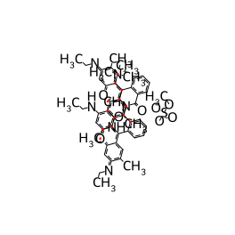 CCN=c1cc2oc3cc(NCC)c(C)cc3c(-c3ccccc3C(=O)N(CCC[N+](C)(C)C)C(=O)c3ccccc3-c3c4cc(C)c(=NCC)cc-4oc4cc(NCC)c(C)cc34)c-2cc1C.COS(=O)(=O)[O-]